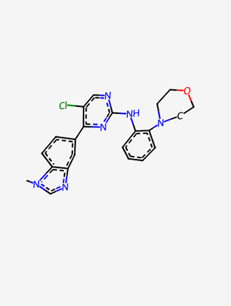 Cn1cnc2cc(-c3nc(Nc4ccccc4N4CCOCC4)ncc3Cl)ccc21